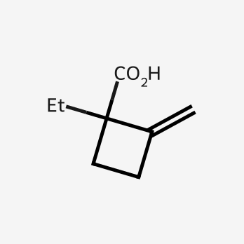 C=C1CCC1(CC)C(=O)O